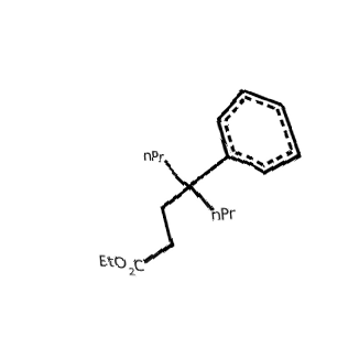 CCCC(CCC)(CCC(=O)OCC)c1ccccc1